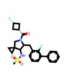 CS(=O)(=O)NC1C(Cc2cccc(-c3ccccc3)c2F)N(C(=O)[C@H]2C[C@@H](F)C2)CC12CC2